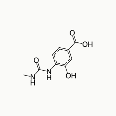 CNC(=O)Nc1ccc(C(=O)O)cc1O